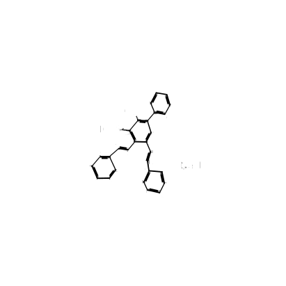 O=S(=O)(O)c1c(-c2ccccc2)cc(C=Cc2ccccc2)c(C=Cc2ccccc2)c1S(=O)(=O)O.[NaH]